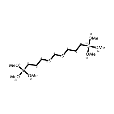 CO[Si](CCCSCSCCC[Si](OC)(OC)OC)(OC)OC